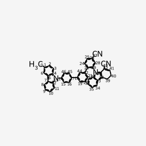 Cc1ccc2c(c1)c1ccccc1n2-c1ccc(-c2cccc(-c3ccc(C#N)cc3-n3c4c(c5ccccc53)CCC=C4C#N)c2)cc1